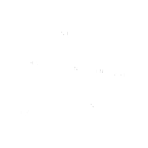 Cc1cc(C)cc(-c2cncc(NC(=O)O)c2N2CCC(N)CC2)c1